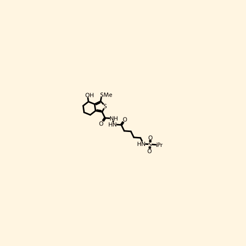 CSc1sc(C(=O)NNC(=O)CCCCNS(=O)(=O)C(C)C)c2c1C(O)CCC2